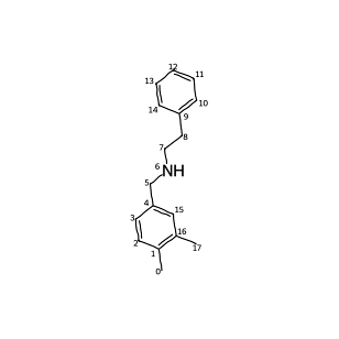 Cc1ccc(CNCCc2ccccc2)cc1C